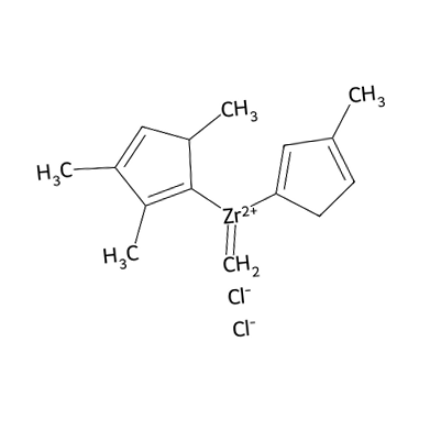 [CH2]=[Zr+2]([C]1=CC(C)=CC1)[C]1=C(C)C(C)=CC1C.[Cl-].[Cl-]